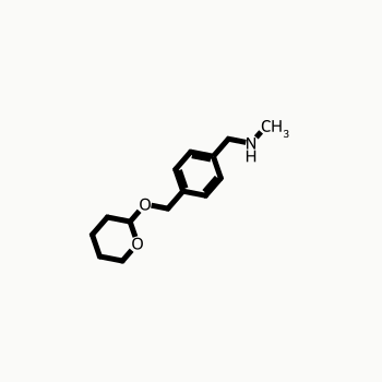 CNCc1ccc(COC2CCCCO2)cc1